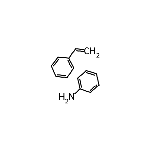 C=Cc1ccccc1.Nc1ccccc1